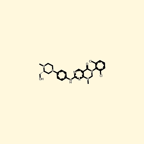 CN1CN(c2c(Cl)cccc2Cl)C(=O)c2cnc(Nc3ccc(N4CCN(C)[C@@H](CO)C4)cc3)nc21